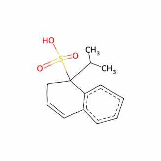 CC(C)C1(S(=O)(=O)O)CC=Cc2ccccc21